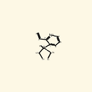 C=Cc1ncccc1C(C)(CC)CC